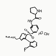 CNCc1cc(-c2ccccc2F)n(S(=O)(=O)c2cccc(NC(=O)C3CCCN3)c2)c1.Cl.Cl